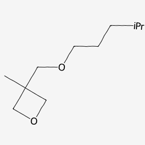 CC(C)CCCOCC1(C)COC1